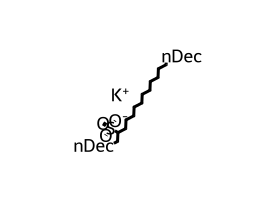 CCCCCCCCCCCCCCCCCCCCCC(CCCCCCCCCCC)S(=O)(=O)[O-].[K+]